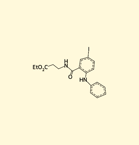 CCOC(=O)CCNC(=O)c1cc(I)ccc1Nc1ccccc1